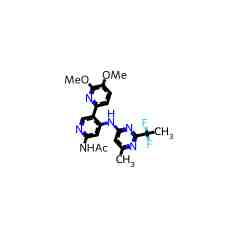 COc1ccc(-c2cnc(NC(C)=O)cc2Nc2cc(C)nc(C(C)(F)F)n2)nc1OC